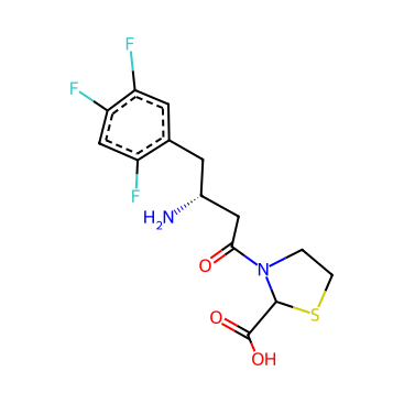 N[C@@H](CC(=O)N1CCSC1C(=O)O)Cc1cc(F)c(F)cc1F